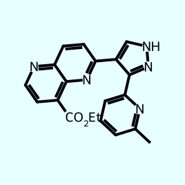 CCOC(=O)c1ccnc2ccc(-c3c[nH]nc3-c3cccc(C)n3)nc12